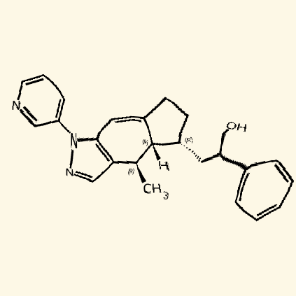 C[C@H]1c2cnn(-c3cccnc3)c2C=C2CC[C@H](CC(O)c3ccccc3)[C@@H]21